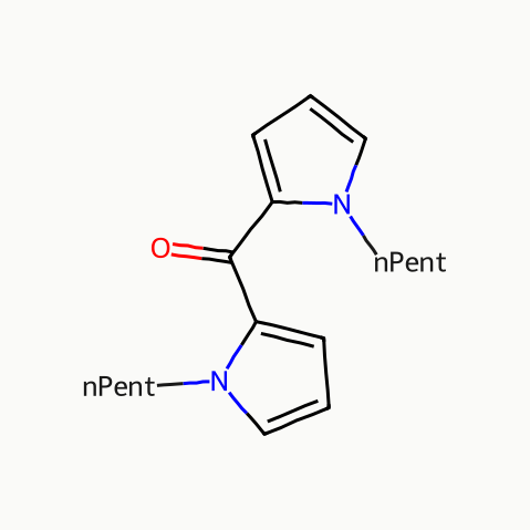 CCCCCn1cccc1C(=O)c1cccn1CCCCC